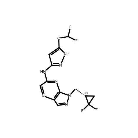 FC(F)Oc1cc(Nc2cnc3cnn(C[C@@H]4CC4(F)F)c3n2)n[nH]1